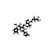 CCOC(=O)C1=C(CN2CC(F)(F)C3C2CCN3CCC(C)(C)C(=O)O)NC(c2nc(C)cs2)=N[C@H]1c1cccc(F)c1C